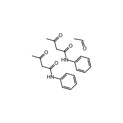 CC(=O)CC(=O)Nc1ccccc1.CC(=O)CC(=O)Nc1ccccc1.C[C]=O